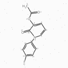 CC(=O)Oc1cccn(-c2ccc(F)cc2)c1=O